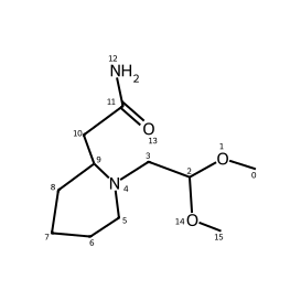 COC(CN1CCCCC1CC(N)=O)OC